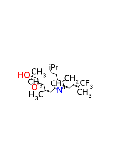 C=C(CCCC(C)C)C(=C\C=C(/C)C(F)(F)F)/N=C(C)/C=C(/C)CC(=O)CC(C)(C)O